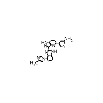 Cc1cn(-c2cccc3[nH]c(-c4n[nH]c5ccc(-c6cncc(N)c6)nc45)nc23)cn1